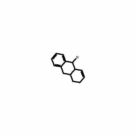 BrC1c2ccccc2CC2CCC=CC21